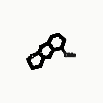 COc1cccc2[c]c3ccccc3cc12